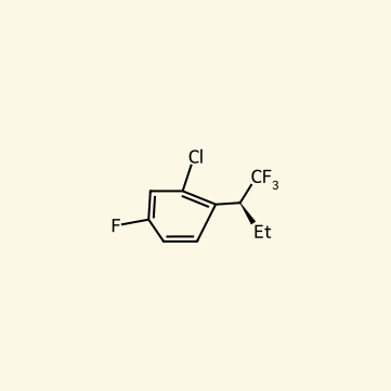 CC[C@@H](c1ccc(F)cc1Cl)C(F)(F)F